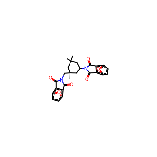 CC1(C)CC(N2C(=O)c3c(c4ccc3o4)C2=O)CC(C)(CN2C(=O)c3c(c4ccc3o4)C2=O)C1